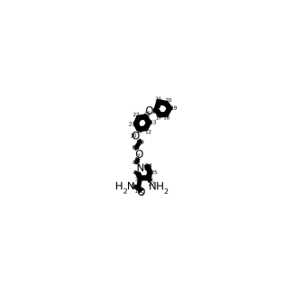 NC(=O)c1c[n+](COCCOc2ccc(Oc3ccccc3)cc2)ccc1N